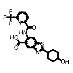 O=C(Nc1cc2sc(C3CCC(O)CC3)nc2cc1C(=O)O)c1cccc(C(F)(F)F)n1